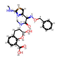 CNc1nc(/C(=N/OCc2ccccc2)C(=O)N(C)[C@H]2Cc3cccc(C(=O)O)c3OB2O)cs1